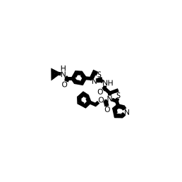 O=C(NC1CC1)c1ccc(-c2csc(NC(=O)C3CSC(c4cccnc4)N3C(=O)OCc3ccccc3)n2)cc1